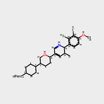 CCCCCC1CCC(C2CCC(C3=CC(C)C(c4ccc(OCC)c(F)c4F)N=C3)OC2)CC1